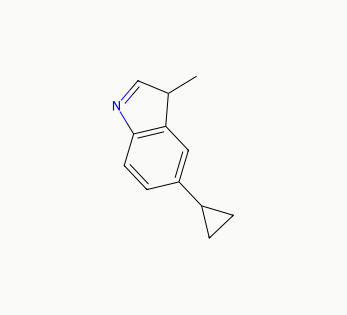 CC1C=Nc2ccc(C3CC3)cc21